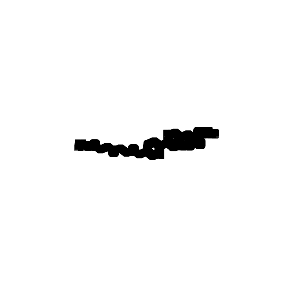 COCCOCCOCc1ccc(-c2ccc(CP(=O)(OC)OC)cn2)nc1